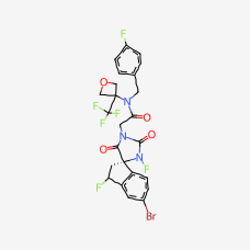 O=C(CN1C(=O)N(F)[C@]2(CC(F)c3cc(Br)ccc32)C1=O)N(Cc1ccc(F)cc1)C1(C(F)(F)F)COC1